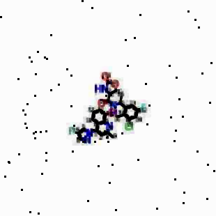 Cc1cc(-n2cc(F)cn2)c2cccc(OCc3c(Cl)cc(F)cc3[C@H](C)NC(=O)[C@@H]3COC(=O)N3)c2n1